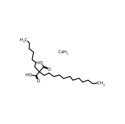 CCCCCCCCCCCCC(CCCCCCC)(C(=O)O)C(=O)O.[CaH2]